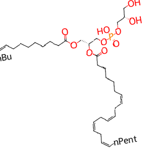 CCCC/C=C\CCCCCCCC(=O)OC[C@H](COP(=O)(O)OC[C@@H](O)CO)OC(=O)CCCCC/C=C\C/C=C\C/C=C\C/C=C\CCCCC